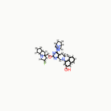 CCc1cccc2cc(O)cc(N3CCc4c(nc(OCC56CC(F)CN5C5CCCC5C6)nc4N4CC5CCC(C4)N5)C3)c12